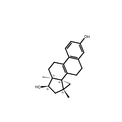 C[C@@]12C[C@@H](O)[C@@]3(C)CCC4=C(CCc5cc(O)ccc54)[C@@]13C2